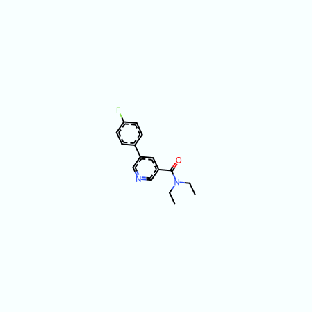 CCN(CC)C(=O)c1cncc(-c2ccc(F)cc2)c1